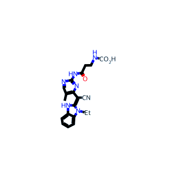 CCN1C(=C(C#N)c2nc(NC(=O)CCNC(=O)O)ncc2C)Nc2ccccc21